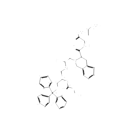 CC[C@H](C)[C@@H](CN1Cc2ccccc2CC1C(=O)N[C@@H](CCSC)C(=O)OC)NC[C@H](CSC(c1ccccc1)(c1ccccc1)c1ccccc1)NC(=O)OC(C)(C)C